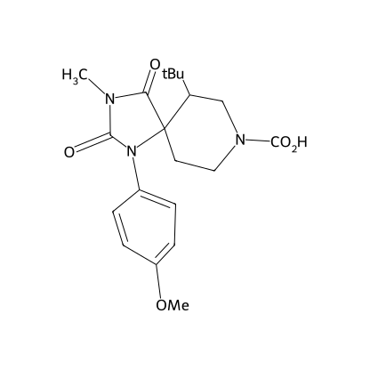 COc1ccc(N2C(=O)N(C)C(=O)C23CCN(C(=O)O)CC3C(C)(C)C)cc1